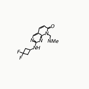 CNCn1c(=O)ccc2cnc(NC3CC(F)(F)C3)nc21